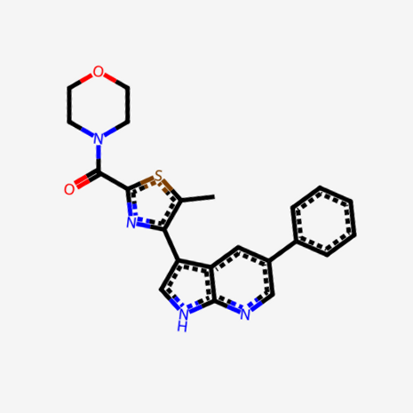 Cc1sc(C(=O)N2CCOCC2)nc1-c1c[nH]c2ncc(-c3ccccc3)cc12